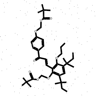 CCCOc1c(C(C)(C)CC)cc(C(C)(C)CC)c(OCOC(=O)C(C)(C)C)c1C=CC(=O)c1ccc(OCOC(=O)C(C)(C)C)cc1